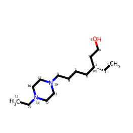 CC[C@@H](CCO)CCCCN1CCN(CC)CC1